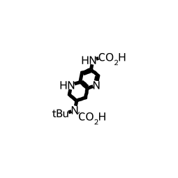 CC(C)(C)N(C(=O)O)C1CNc2cc(NC(=O)O)cnc2C1